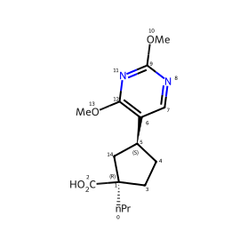 CCC[C@@]1(C(=O)O)CC[C@H](c2cnc(OC)nc2OC)C1